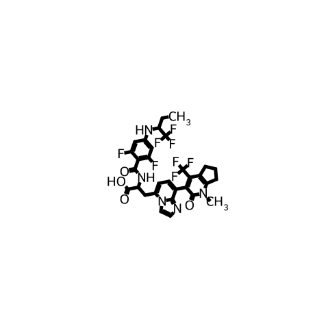 CCC(Nc1cc(F)c(C(=O)NC(Cc2ccc(-c3c(C(F)(F)F)c4c(n(C)c3=O)CCC4)c3nccn23)C(=O)O)c(F)c1)C(F)(F)F